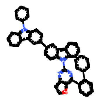 c1ccc(-c2ccccc2-c2nc(-n3c4ccccc4c4cc(-c5ccc6c(c5)c5ccccc5n6-c5ccccc5)ccc43)nc3ccoc23)cc1